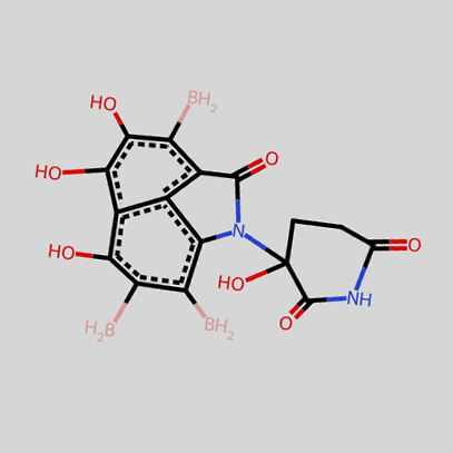 Bc1c(B)c2c3c(c(B)c(O)c(O)c3c1O)C(=O)N2C1(O)CCC(=O)NC1=O